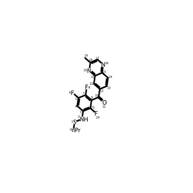 CCCSNc1cc(F)c(F)c(C(=O)c2ccc3ncc(C)nc3c2)c1F